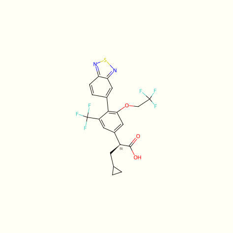 O=C(O)[C@@H](CC1CC1)c1cc(OCC(F)(F)F)c(-c2ccc3nsnc3c2)c(C(F)(F)F)c1